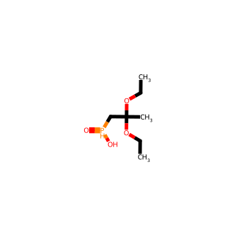 CCOC(C)(C[PH](=O)O)OCC